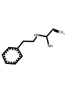 C=CC([NH])NCCc1ccccc1